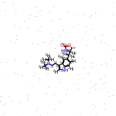 [2H]c1[nH]c2c([2H])c([2H])c(C([2H])([2H])[C@@]3([2H])COC(=O)N3)c([2H])c2c1CCN(C([2H])([2H])[2H])C([2H])([2H])[2H]